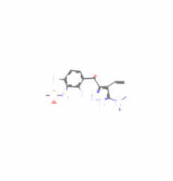 C=Cc1c(C(=O)c2ccc(F)c(NS(C)(=O)=O)c2F)n[nH]c1N(C)C